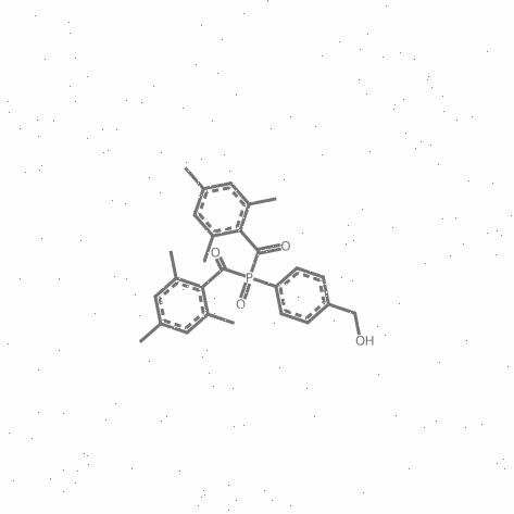 Cc1cc(C)c(C(=O)P(=O)(C(=O)c2c(C)cc(C)cc2C)c2ccc(CO)cc2)c(C)c1